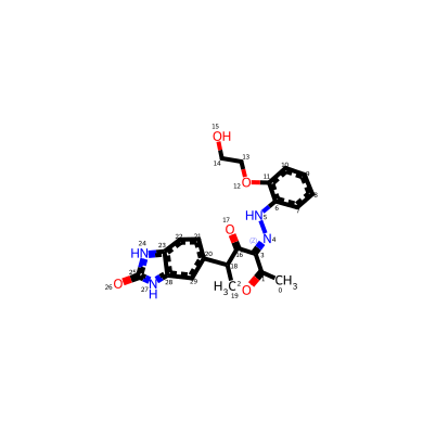 CC(=O)/C(=N/Nc1ccccc1OCCO)C(=O)C(C)c1ccc2[nH]c(=O)[nH]c2c1